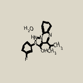 CC(C)C1=Nc2ccccc2N2NN(c3cccc(F)c3)C(O)=C12.O